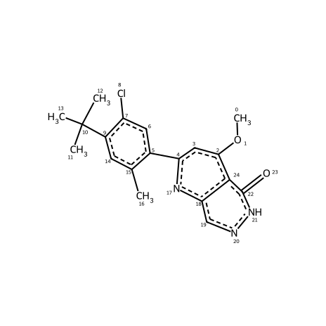 COc1cc(-c2cc(Cl)c(C(C)(C)C)cc2C)nc2cn[nH]c(=O)c12